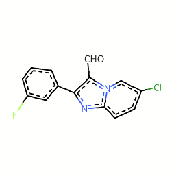 O=Cc1c(-c2cccc(F)c2)nc2ccc(Cl)cn12